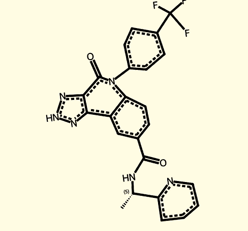 C[C@H](NC(=O)c1ccc2c(c1)c1n[nH]nc1c(=O)n2-c1ccc(C(F)(F)F)cc1)c1ccccn1